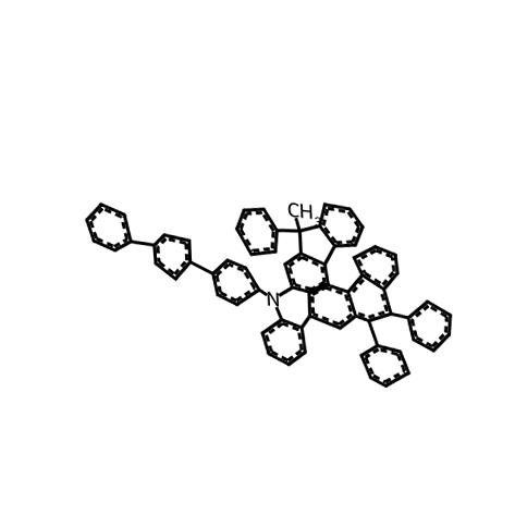 CC1(c2ccccc2)c2ccccc2-c2ccc(N(c3ccc(-c4ccc(-c5ccccc5)cc4)cc3)c3ccccc3-c3ccc4c(c3)c(-c3ccccc3)c(-c3ccccc3)c3ccccc34)cc21